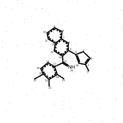 CC1=CCC(c2cc3ccccc3cc2C(=N)c2ccc(C)c(C)c2C)=C1